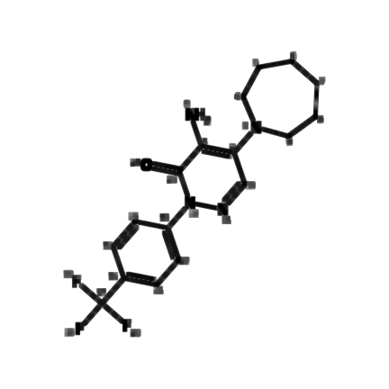 Nc1c(N2CCCCCC2)cnn(-c2ccc(C(F)(F)F)cc2)c1=O